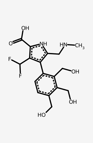 CNCc1[nH]c(C(=O)O)c(C(F)F)c1-c1ccc(CO)c(CO)c1CO